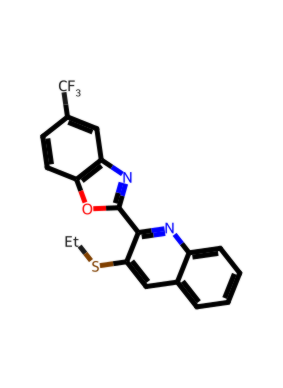 CCSc1cc2ccccc2nc1-c1nc2cc(C(F)(F)F)ccc2o1